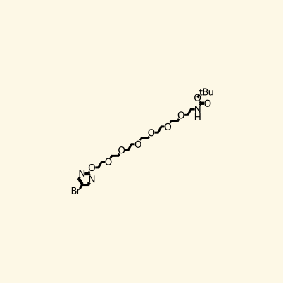 CC(C)(C)OC(=O)NCCOCCOCCOCCOCCOCCOCCOc1ncc(Br)cn1